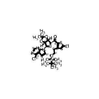 CC1(C)O[C@@H]2[C@H](O1)[C@@H](C(=O)c1sc(Cl)cc1CCO[Si](C)(C)C(C)(C)C)O[C@H]2n1ccc2c(Cl)ncnc21